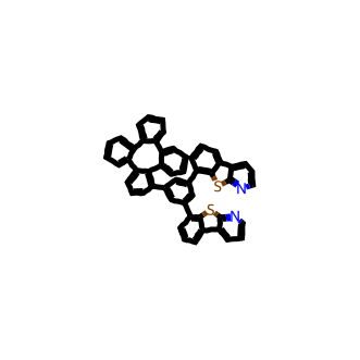 c1ccc2c(c1)-c1ccccc1-c1cccc(-c3cc(-c4cccc5c4sc4ncccc45)cc(-c4cccc5c4sc4ncccc45)c3)c1-c1ccccc1-2